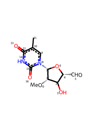 CO[C@H]1C(O)[C@@H](C=O)O[C@H]1n1cc(C)c(=O)[nH]c1=O